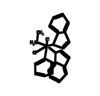 C[SiH2][Zr]([Cl])([Cl])([c]1ccccc1)([CH]1C=Cc2ccccc21)[CH]1C=Cc2ccccc21